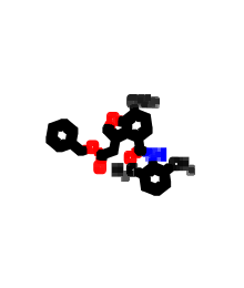 COc1ccc(C(=O)Nc2c(C)cccc2C)c2c(CC(=O)OCc3ccccc3)coc12